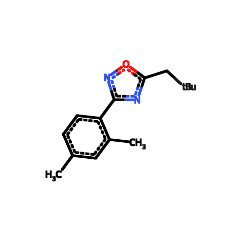 Cc1ccc(-c2noc(CC(C)(C)C)n2)c(C)c1